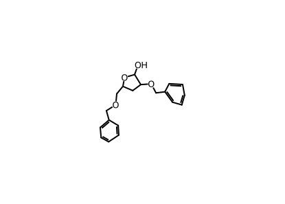 OC1OC(COCc2ccccc2)CC1OCc1ccccc1